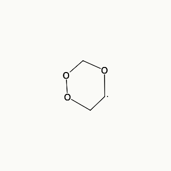 [CH]1COOCO1